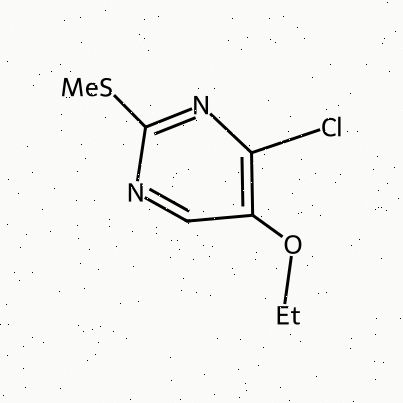 CCOc1cnc(SC)nc1Cl